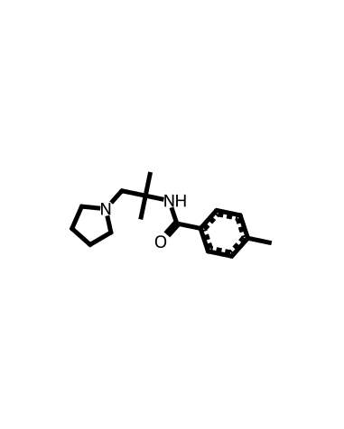 Cc1ccc(C(=O)NC(C)(C)CN2CCCC2)cc1